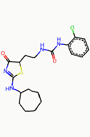 O=C(NCCC1SC(NC2CCCCCC2)=NC1=O)Nc1ccccc1Cl